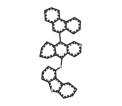 c1ccc2c(c1)cc(-c1c3ccccc3c(Sc3cccc4sc5ccccc5c34)c3ccncc13)c1ccccc12